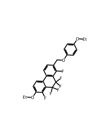 CCOc1ccc(OCc2ccc3c(c2F)C(F)(F)C(F)(F)c2c-3ccc(OCC)c2F)cc1